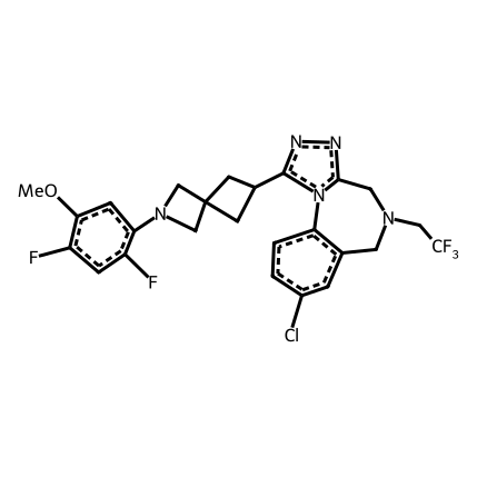 COc1cc(N2CC3(CC(c4nnc5n4-c4ccc(Cl)cc4CN(CC(F)(F)F)C5)C3)C2)c(F)cc1F